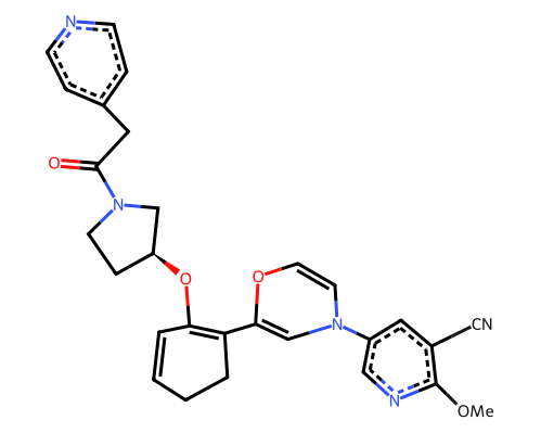 COc1ncc(N2C=COC(C3=C(O[C@H]4CCN(C(=O)Cc5ccncc5)C4)C=CCC3)=C2)cc1C#N